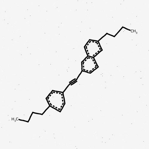 CCCCc1ccc(C#Cc2ccc3cc(CCCC)ccc3c2)cc1